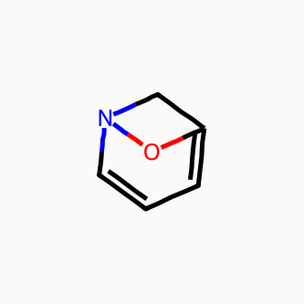 C1=CN2CC(=C1)O2